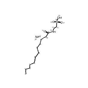 CCCCCCCCCCCC(=O)NCCS(=O)(=O)O.[NaH]